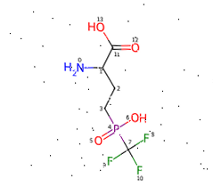 NC(CCP(=O)(O)C(F)(F)F)C(=O)O